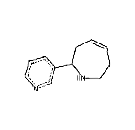 C1=CCC(c2cccnc2)NCC1